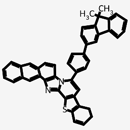 CC1(C)c2ccccc2-c2cc(-c3ccc(-c4cc5c6c(sc5c5nc7c8cc9ccccc9cc8ccc7n45)C=CCC6)cc3)ccc21